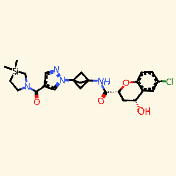 C[Si]1(C)CCN(C(=O)c2cnn(C34CC(NC(=O)[C@H]5C[C@@H](O)c6cc(Cl)ccc6O5)(C3)C4)c2)C1